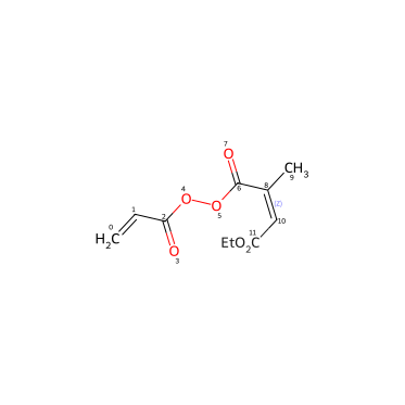 C=CC(=O)OOC(=O)/C(C)=C\C(=O)OCC